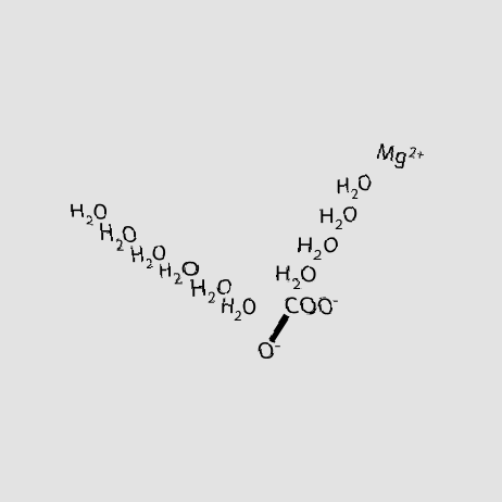 O.O.O.O.O.O.O.O.O.O.O=C([O-])[O-].[Mg+2]